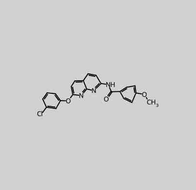 COc1ccc(C(=O)Nc2ccc3ccc(Oc4cccc(Cl)c4)nc3n2)cc1